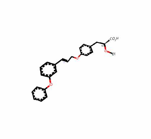 CCO[C@@H](Cc1ccc(OC/C=C/c2cccc(Oc3ccccc3)c2)cc1)C(=O)O